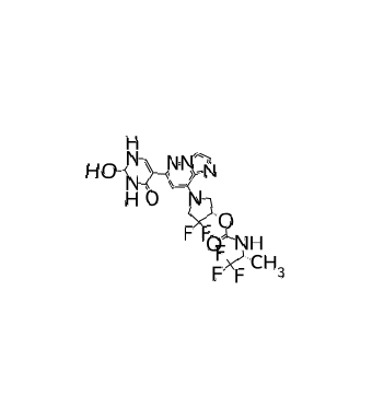 C[C@@H](NC(=O)O[C@H]1CN(c2cc(C3=CNC(O)NC3=O)nn3ccnc23)CC1(F)F)C(F)(F)F